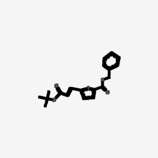 CC(C)(C)OC(=O)/C=C/c1ccc(C(=O)OCc2ccccc2)s1